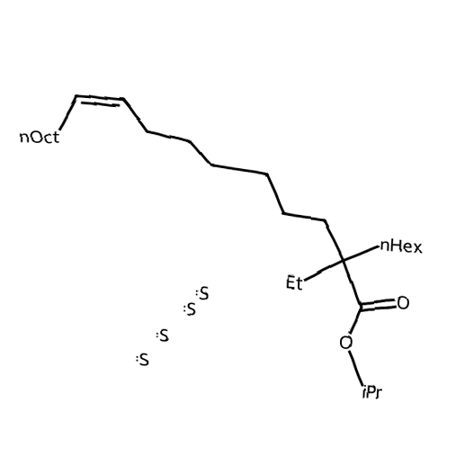 CCCCCCCC/C=C\CCCCCCC(CC)(CCCCCC)C(=O)OC(C)C.[S].[S].[S].[S]